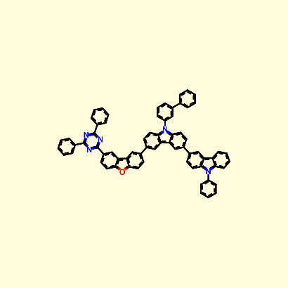 c1ccc(-c2cccc(-n3c4ccc(-c5ccc6oc7ccc(-c8nc(-c9ccccc9)nc(-c9ccccc9)n8)cc7c6c5)cc4c4cc(-c5ccc6c(c5)c5ccccc5n6-c5ccccc5)ccc43)c2)cc1